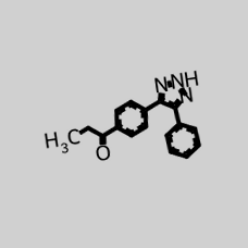 CCC(=O)c1ccc(-c2n[nH]nc2-c2ccccc2)cc1